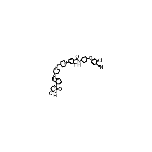 N#Cc1ccc(OC2CCC(NC(=O)c3ccc(N4CCC(CN5CCC(n6ccc7c(N8CCC(=O)NC8=O)cccc76)CC5)CC4)cc3F)CC2)cc1Cl